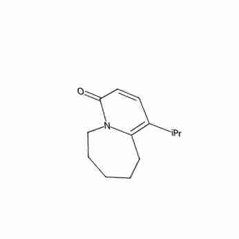 CC(C)c1ccc(=O)n2c1CCCCC2